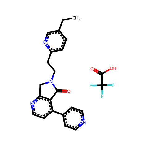 CCc1ccc(CCN2Cc3nccc(-c4ccncc4)c3C2=O)nc1.O=C(O)C(F)(F)F